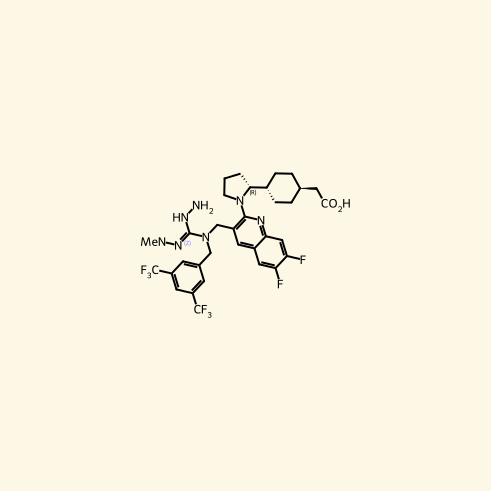 CN/N=C(\NN)N(Cc1cc(C(F)(F)F)cc(C(F)(F)F)c1)Cc1cc2cc(F)c(F)cc2nc1N1CCC[C@@H]1[C@H]1CC[C@H](CC(=O)O)CC1